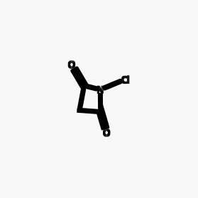 O=C1CC(=O)N1Cl